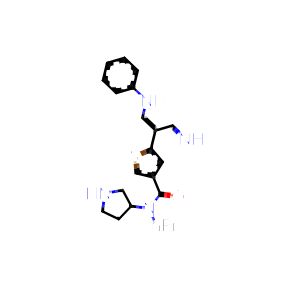 CCCN(C(=O)c1csc(/C(C=N)=C/Nc2ccccc2)c1)C1CCNC1